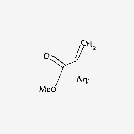 C=CC(=O)OC.[Ag]